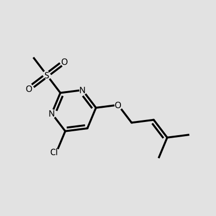 CC(C)=CCOc1cc(Cl)nc(S(C)(=O)=O)n1